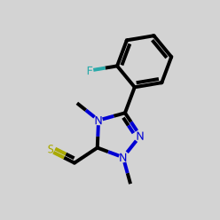 CN1N=C(c2ccccc2F)N(C)C1C=S